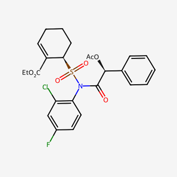 CCOC(=O)C1=CCCC[C@H]1S(=O)(=O)N(C(=O)[C@@H](OC(C)=O)c1ccccc1)c1ccc(F)cc1Cl